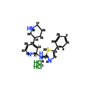 Cl.Cl.c1ccc(-c2cnc(Nc3cc(C4CCCNC4)ccn3)s2)cc1